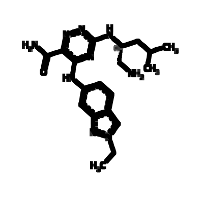 CCn1cc2ccc(Nc3nc(N[C@@H](CN)CC(C)C)nnc3C(N)=O)cc2n1